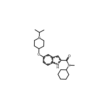 CC(C)N1CCC(Oc2ccc3[nH]c(C(=O)N(C)C4CCCCC4)cc3c2)CC1